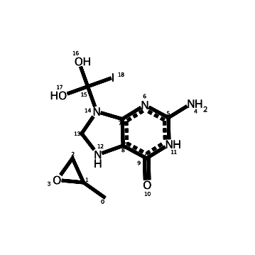 CC1CO1.Nc1nc2c(c(=O)[nH]1)NCN2C(O)(O)I